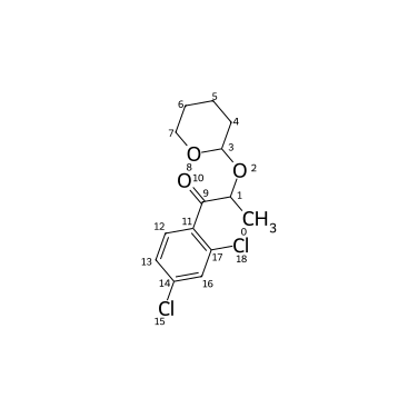 CC(OC1CCCCO1)C(=O)c1ccc(Cl)cc1Cl